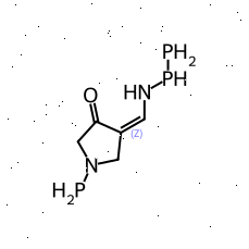 O=C1CN(P)C/C1=C/NPP